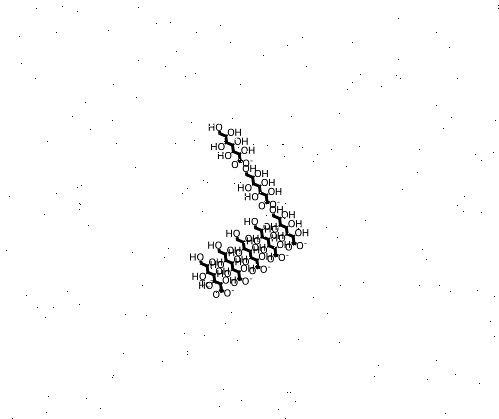 O=C([O-])[C@H](O)[C@H](O)[C@H](O)[C@@H](O)[C@H](O)CO.O=C([O-])[C@H](O)[C@H](O)[C@H](O)[C@@H](O)[C@H](O)CO.O=C([O-])[C@H](O)[C@H](O)[C@H](O)[C@@H](O)[C@H](O)CO.O=C([O-])[C@H](O)[C@H](O)[C@H](O)[C@@H](O)[C@H](O)CO.O=C([O-])[C@H](O)[C@H](O)[C@H](O)[C@@H](O)[C@H](O)CO.O=C([O-])[C@H](O)[C@H](O)[C@H](O)[C@@H](O)[C@H](O)CO.O=C([O-])[C@H](O)[C@H](O)[C@H](O)[C@@H](O)[C@H](O)CO.[Tc+7]